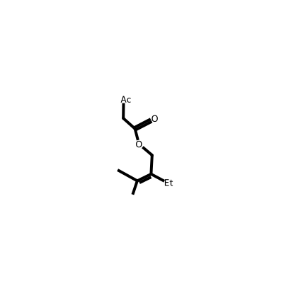 CCC(COC(=O)CC(C)=O)=C(C)C